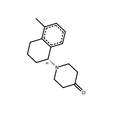 Cc1cccc2c1CCC[C@H]2N1CCC(=O)CC1